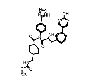 CC(C)(C)OC(=O)NC[C@H]1CC[C@H](C(=O)N(C(=O)[C@@H](N)Cc2cccc(-c3cnc(O)nc3)c2)c2ccc(-c3nnn[nH]3)cc2)CC1